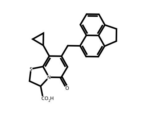 O=C(O)C1CSc2c(C3CC3)c(Cc3ccc4c5c(cccc35)CC4)cc(=O)n21